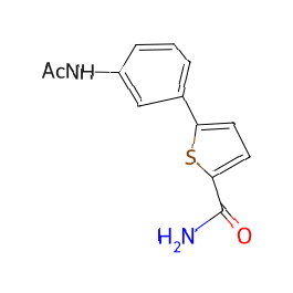 CC(=O)Nc1cccc(-c2ccc(C(N)=O)s2)c1